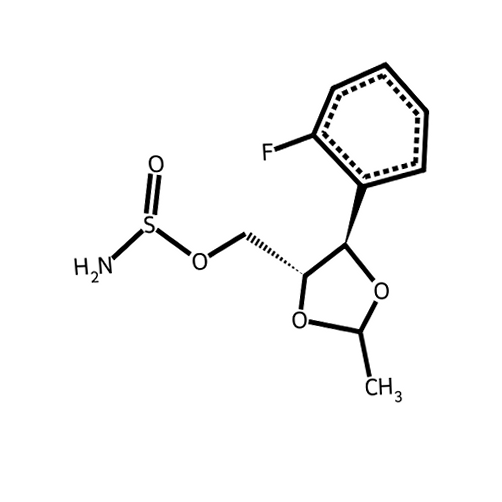 CC1O[C@H](c2ccccc2F)[C@@H](COS(N)=O)O1